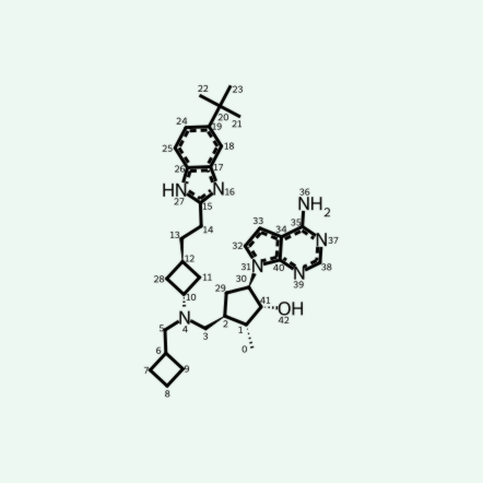 C[C@@H]1[C@@H](CN(CC2CCC2)[C@H]2C[C@H](CCc3nc4cc(C(C)(C)C)ccc4[nH]3)C2)C[C@@H](n2ccc3c(N)ncnc32)[C@@H]1O